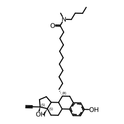 C#C[C@]1(O)CCC2C3C(CC[C@@]21C)c1ccc(O)cc1C[C@H]3CCCCCCCCCCC(=O)N(C)CCCC